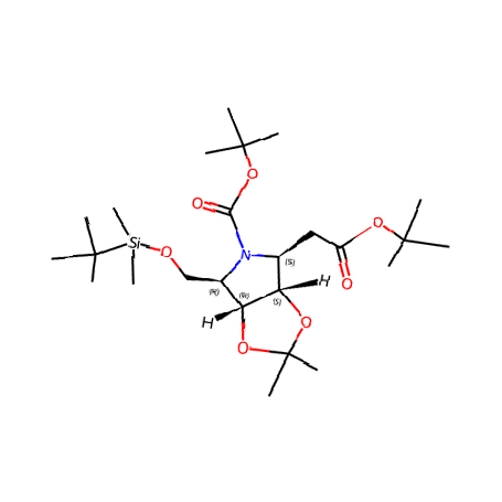 CC(C)(C)OC(=O)C[C@H]1[C@@H]2OC(C)(C)O[C@@H]2[C@@H](CO[Si](C)(C)C(C)(C)C)N1C(=O)OC(C)(C)C